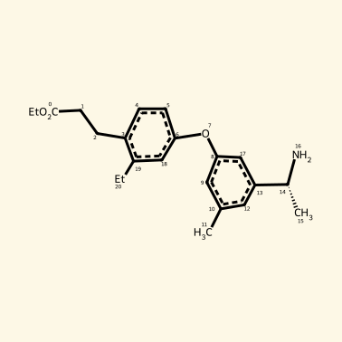 CCOC(=O)CCc1ccc(Oc2cc(C)cc([C@@H](C)N)c2)cc1CC